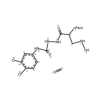 C=O.CCCCCC(CNO)C(=O)NNC(=O)Nc1ccc(Cl)c(Cl)c1